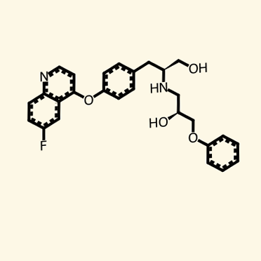 OC[C@H](Cc1ccc(Oc2ccnc3ccc(F)cc23)cc1)NC[C@H](O)COc1ccccc1